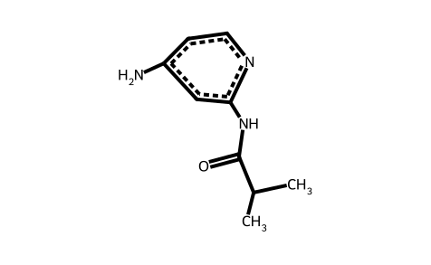 CC(C)C(=O)Nc1cc(N)ccn1